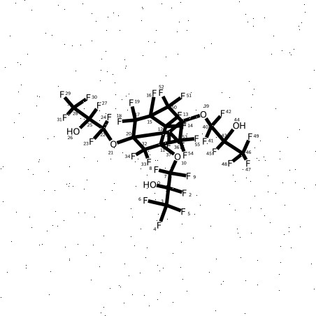 OC(F)(C(F)(F)F)C(F)(F)OC12C(F)(F)C3(F)C(F)(F)C(OC(F)(F)C(O)(F)C(F)(F)F)(C1(F)F)C(F)(F)C(OC(F)(F)C(O)(F)C(F)(F)F)(C3(F)F)C2(F)F